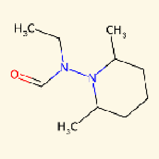 CCN([C]=O)N1C(C)CCCC1C